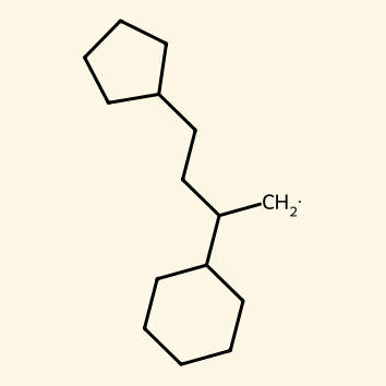 [CH2]C(CCC1CCCC1)C1CCCCC1